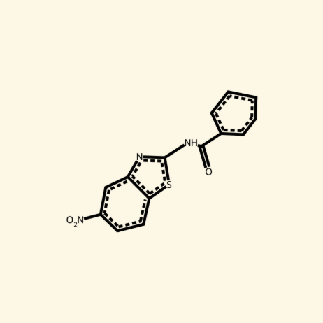 O=C(Nc1nc2cc([N+](=O)[O-])ccc2s1)c1ccccc1